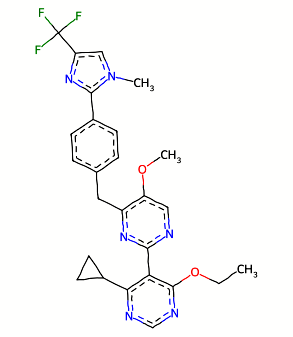 CCOc1ncnc(C2CC2)c1-c1ncc(OC)c(Cc2ccc(-c3nc(C(F)(F)F)cn3C)cc2)n1